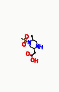 C[C@H]1CN[C@@H](CC(=O)O)CN1S(C)(=O)=O